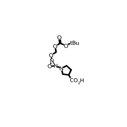 CC(C)(C)OC(=O)OCOn1on1N1CCC(C(=O)O)C1